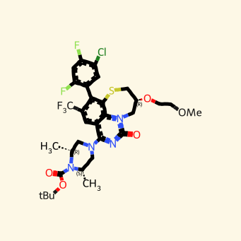 COCCO[C@H]1CSc2c(-c3cc(Cl)c(F)cc3F)c(C(F)(F)F)cc3c(N4C[C@@H](C)N(C(=O)OC(C)(C)C)[C@@H](C)C4)nc(=O)n(c23)C1